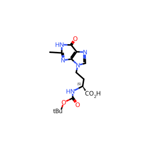 Cc1nc2c(ncn2CC[C@H](NC(=O)OC(C)(C)C)C(=O)O)c(=O)[nH]1